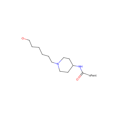 CCCCCC(=O)NC1CCN(CCCCCC[O])CC1